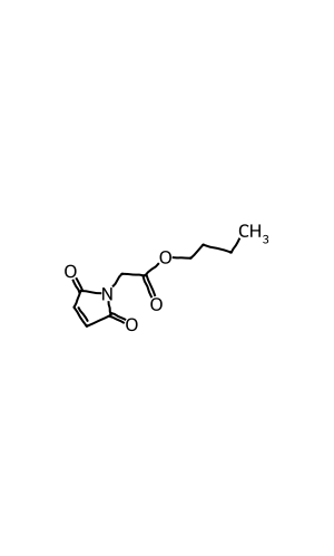 CCCCOC(=O)CN1C(=O)C=CC1=O